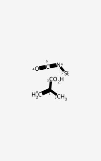 C=C(C)C(=O)O.O=C=N[Si]